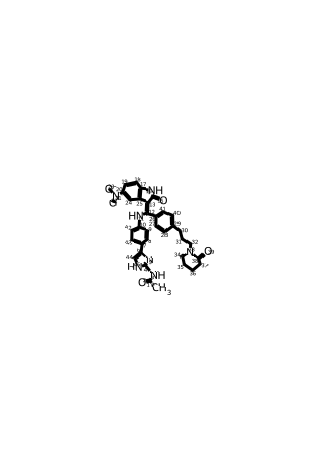 CC(=O)Nc1nc(-c2ccc(NC(=C3C(=O)Nc4ccc([N+](=O)[O-])cc43)c3ccc(CCCN4CCCCC4=O)cc3)cc2)c[nH]1